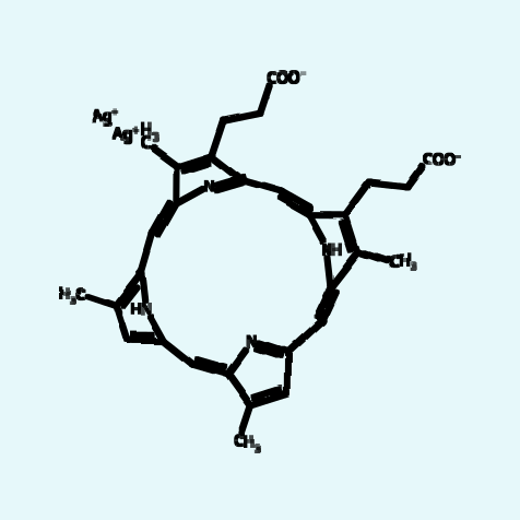 CC1=Cc2cc3[nH]c(cc4nc(cc5[nH]c(cc1n2)cc5C)C(C)=C4CCC(=O)[O-])c(CCC(=O)[O-])c3C.[Ag+].[Ag+]